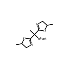 CCCCCC(C)(C1=NCC(C)O1)C1=NCC(C)O1